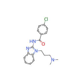 CN(C)CCCn1c(NC(=O)c2ccc(Cl)cc2)nc2ccccc21